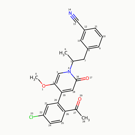 COc1cn(C(C)Cc2cccc(C#N)c2)c(=O)cc1-c1cc(Cl)ccc1C(C)=O